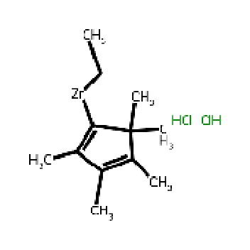 C[CH2][Zr][C]1=C(C)C(C)=C(C)C1(C)C.Cl.Cl